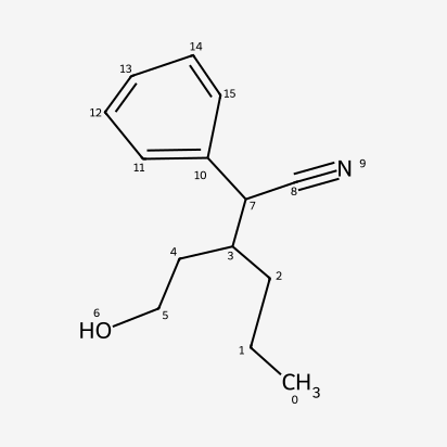 CCCC(CCO)C(C#N)c1ccccc1